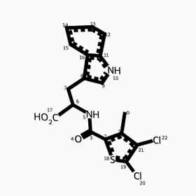 Cc1c(C(=O)NC(Cc2c[nH]c3ccccc23)C(=O)O)sc(Cl)c1Cl